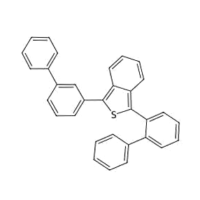 c1ccc(-c2cccc(-c3sc(-c4ccccc4-c4ccccc4)c4ccccc34)c2)cc1